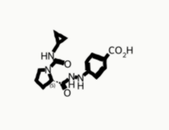 O=C(O)c1ccc(NNC(=O)[C@@H]2CCCN2C(=O)NC2CC2)cc1